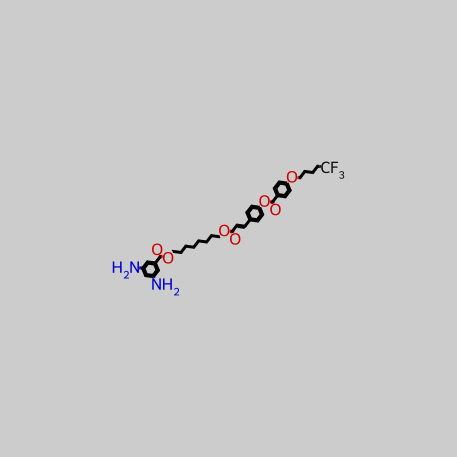 Nc1cc(N)cc(C(=O)OCCCCCCCCOC(=O)/C=C/c2ccc(OC(=O)c3ccc(OCCCCC(F)(F)F)cc3)cc2)c1